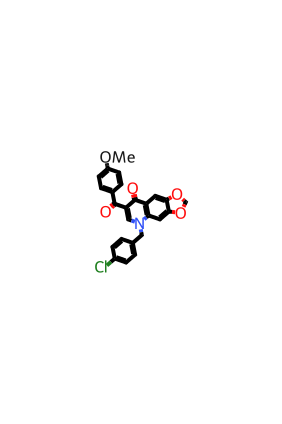 COc1ccc(C(=O)c2cn(Cc3ccc(Cl)cc3)c3cc4c(cc3c2=O)OCO4)cc1